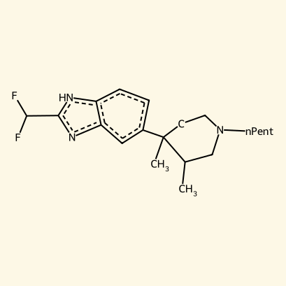 CCCCCN1CCC(C)(c2ccc3[nH]c(C(F)F)nc3c2)C(C)C1